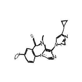 CN1C(=O)c2cc(Cl)ccc2[N+]2C=NC(n3cc(C4CC4)nn3)=C12